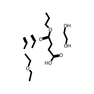 C=CC.C=CC.CCCOC(=O)CCC(=O)O.CCOCC.OCCO